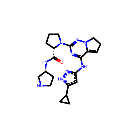 O=C(N[C@H]1CCNC1)[C@@H]1CCCN1C1=NN2CCC=C2C(Nc2cc(C3CC3)[nH]n2)=N1